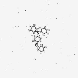 c1ccc(Oc2ccc([S+](c3ccccc3)c3ccccc3)cc2)cc1